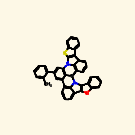 Cc1ccccc1-c1cc2c3c(c1)-n1c4sc5ccccc5c4c4cccc(c41)B3n1c3c-2cccc3c2oc3ccccc3c21